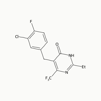 CCc1nc(C(F)(F)F)c(Cc2ccc(F)c(Cl)c2)c(=O)[nH]1